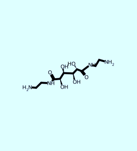 NCCNC(=O)[C@@H](O)[C@@H](O)[C@H](O)[C@@H](O)C(=O)NCCN